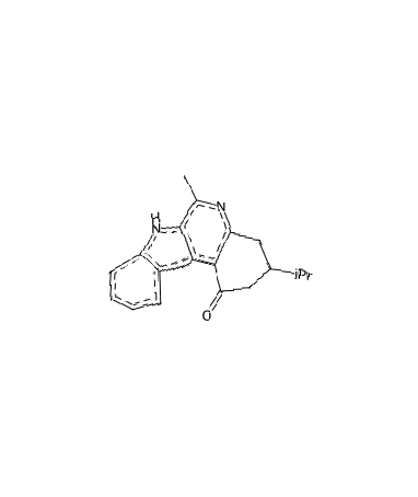 Cc1nc2c(c3c1[nH]c1ccccc13)C(=O)CC(C(C)C)C2